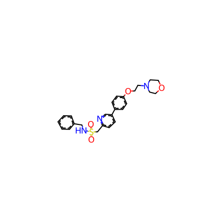 O=S(=O)(Cc1ccc(-c2ccc(OCCN3CCOCC3)cc2)cn1)NCc1ccccc1